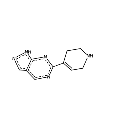 C1=C(c2ncc3cn[nH]c3n2)CCNC1